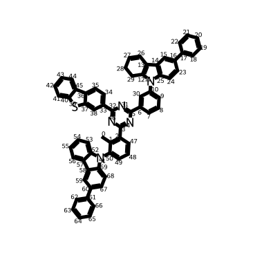 Cc1c(-c2nc(-c3cccc(-n4c5c(c6cc(-c7ccccc7)ccc64)C=CCC5)c3)nc(-c3ccc4c(c3)sc3ccccc34)n2)cccc1-n1c2ccccc2c2cc(-c3ccccc3)ccc21